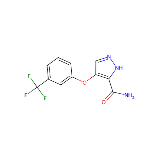 NC(=O)c1[nH]ncc1Oc1cccc(C(F)(F)F)c1